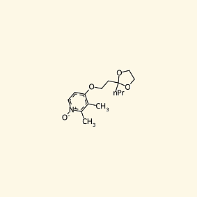 CCCC1(CCOc2cc[n+]([O-])c(C)c2C)OCCO1